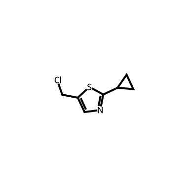 ClCc1cnc(C2CC2)s1